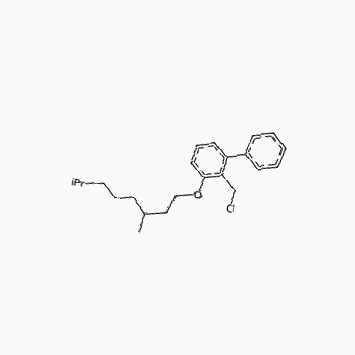 CC(C)CCCC(C)CCOc1cccc(-c2ccccc2)c1CCl